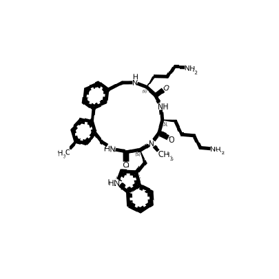 Cc1ccc2c(c1)CNC(=O)[C@H](Cc1c[nH]c3ccccc13)N(C)C(=O)[C@H](CCCCN)NC(=O)[C@H](CCCN)NCc1cccc-2c1